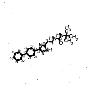 CC(C)(C)NC(=O)NCCc1nc(-c2ccc(-c3ccccc3)cc2)c[nH]1